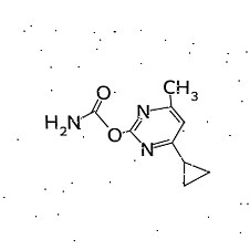 Cc1cc(C2CC2)nc(OC(N)=O)n1